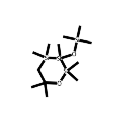 CC1(C)C[Si](C)(C)[Si](C)(O[Si](C)(C)C)[Si](C)(C)O1